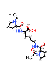 CCN1CCCC1C(=O)NC(CCCCNC(=O)C1CCCN1C(C)=O)C(=O)O